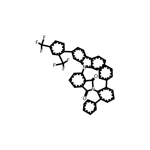 O=C1c2cccc(-n3c4ccccc4c4ccc(-c5ccc(C(F)(F)F)cc5C(F)(F)F)cc43)c2C(=O)N1c1c(-c2ccccc2)cccc1-c1ccccc1